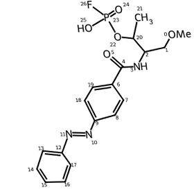 COCC(NC(=O)c1ccc(/N=N/c2ccccc2)cc1)C(C)OP(=O)(O)F